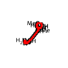 CO[C@H]1C[C@@H]2CC[C@@H](C)[C@@](O)(O2)C(=O)C(=O)N2CCCC[C@H]2C(=O)O[C@H]([C@H](N)C[C@@H]2CC[C@@H](OC(=O)NCCOCCOCCOCCOCCOCCOCCOCCOCCC(=O)NCCS(=O)(=O)N3CCc4cc(Cn5nc(-c6ccc7oc(N)nc7c6)c6c(N(C)C)ncnc65)ccc4C3)[C@H](OC)C2)C[C@@H](O)[C@H](C)/C=C(\C)[C@@H](O)[C@@H](O)C(=O)[C@H](C)C[C@H](C)/C=C/C=C/C=C/1C